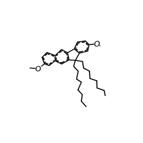 CCCCCCCCC1(CCCCCCCC)c2cc(OC)ccc2-c2cc3ccc(OC)cc3cc21